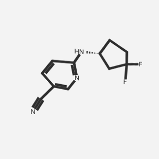 N#Cc1ccc(N[C@@H]2CCC(F)(F)C2)nc1